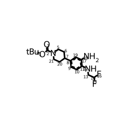 CC(C)(C)OC(=O)N1CCC(c2ccc(NCC(F)F)c(N)c2)CC1